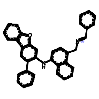 C(=N\Cc1ccc(Nc2cc3oc4ccccc4c3cc2-c2ccccc2)c2ccccc12)/c1ccccc1